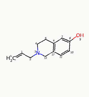 C=CCN1CCc2cc(O)ccc2C1